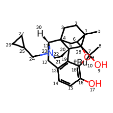 CC12CCC3(CC1C(C)(O)C(C)(C)C)[C@H]1Cc4ccc(O)c5c4[C@@]3(CCN1CC1CC1)C2O5